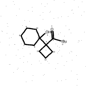 CC(C)(C)C(=O)C1(C2(O)CCCCC2)CCC1